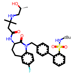 C[C@@H](O)CNC(C)(C)CC(=O)N[C@@H]1CCc2cc(F)ccc2N(Cc2ccc(-c3ccccc3S(=O)(=O)NC(C)(C)C)cc2)C1=O